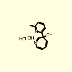 Cc1cccc(C2(O)C=CC=CN=C2)n1.Cl.Cl